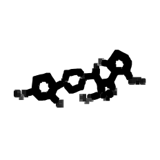 COc1cccc(F)c1-c1nnn(C)c1C(=S)N1CCN(c2ccc([N+](=O)[O-])cc2Cl)CC1